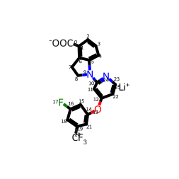 O=C([O-])c1cccc2c1CCN2c1cc(Oc2cc(F)cc(C(F)(F)F)c2)ccn1.[Li+]